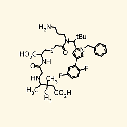 CC(NCC(=O)NC(CSCC(=O)N(CCCN)C(c1cc(-c2cc(F)ccc2F)cn1Cc1ccccc1)C(C)(C)C)C(=O)O)C(C)(C)CC(=O)O